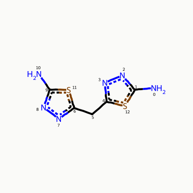 Nc1nnc(Cc2nnc(N)s2)s1